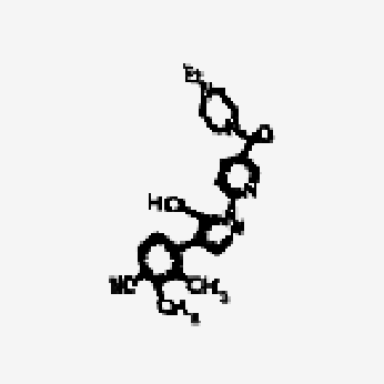 CCN1CCN(C(=O)c2ccc(-n3ncc(-c4ccc(C#N)c(C)c4C)c3O)nc2)CC1